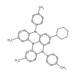 Cc1ccc(N2c3ccc(C)cc3B3c4cc(C)ccc4N(c4ccc(C)cc4)c4cc(C5CCCCC5)cc2c43)cc1